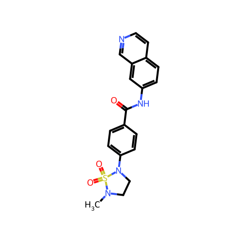 CN1CCN(c2ccc(C(=O)Nc3ccc4ccncc4c3)cc2)S1(=O)=O